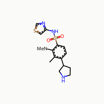 CNc1c(S(=O)(=O)Nc2cscn2)ccc(C2CCNC2)c1C